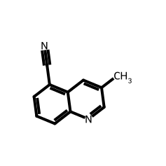 Cc1cnc2cccc(C#N)c2c1